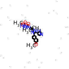 COC(=O)NC(=O)NCC(C)(C)c1nc(-c2ccc3cc(OC)ccc3c2)c(-c2ccncc2)[nH]1